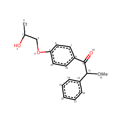 CCC(O)COc1ccc(C(=O)C(OC)c2ccccc2)cc1